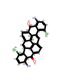 O=c1c2ccc3cc4c5c(Br)ccc(I)c5c(=O)c5ccc6cc(c7c(Br)ccc(I)c17)c2c3c6c54